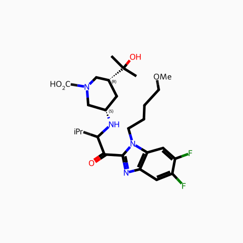 COCCCCn1c(C(=O)C(N[C@H]2C[C@@H](C(C)(C)O)CN(C(=O)O)C2)C(C)C)nc2cc(F)c(F)cc21